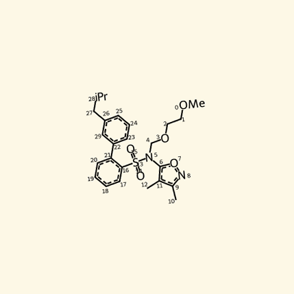 COCCOCN(c1onc(C)c1C)S(=O)(=O)c1ccccc1-c1cccc(CC(C)C)c1